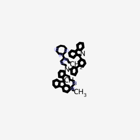 C=C/C=C(\C=C/CN(c1cccc(-c2cccc(-c3nc4ccccc4c4ccccc34)c2)c1)c1cccc(C2(C)c3ccccc3-c3ccccc32)c1CC/C=C\C=C/C)C1=C/C=C\CC/C=C\1